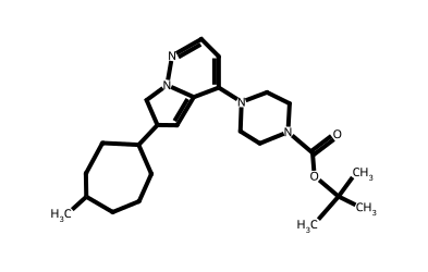 CC1CCCC(C2C=C3C(N4CCN(C(=O)OC(C)(C)C)CC4)=CC=NN3C2)CC1